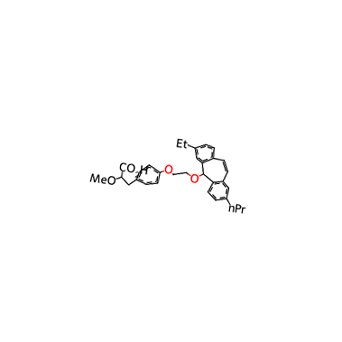 CCCc1ccc2c(c1)C=Cc1ccc(CC)cc1C2OCCOc1ccc(CC(OC)C(=O)O)cc1